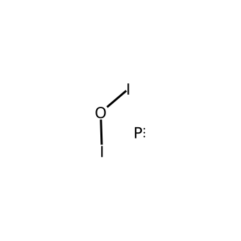 IOI.[P]